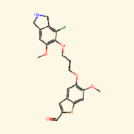 COc1cc2sc(C=O)cc2cc1OCCCOc1c(OC)cc2c(c1F)CNC2